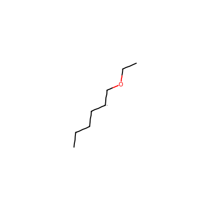 CCCC[CH]COCC